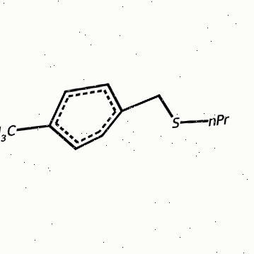 CCCSCc1ccc(C)cc1